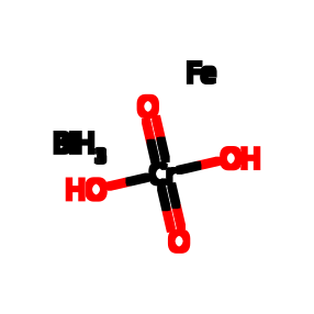 [BiH3].[Fe].[O]=[Cr](=[O])([OH])[OH]